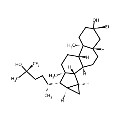 CC[C@]1(O)CC[C@@]2(C)[C@@H](CC[C@H]3[C@@H]4[C@H]5C[C@H]5[C@H]([C@H](C)CC[C@](C)(O)C(F)(F)F)[C@@]4(C)CC[C@@H]32)C1